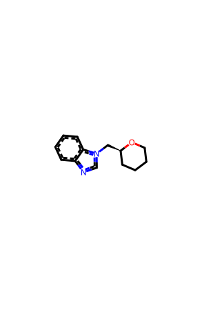 c1ccc2c(c1)ncn2C[C@@H]1CCCCO1